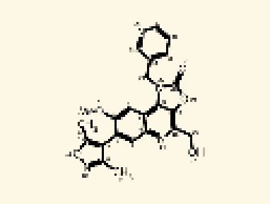 COc1cc2c(cc1-c1c(C)noc1C)nc(CO)c1oc(=O)n(Cc3cccnc3)c12